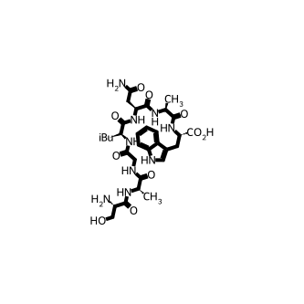 CC[C@H](C)[C@H](NC(=O)CNC(=O)[C@H](C)NC(=O)[C@@H](N)CO)C(=O)N[C@@H](CC(N)=O)C(=O)N[C@@H](C)C(=O)N[C@@H](Cc1c[nH]c2ccccc12)C(=O)O